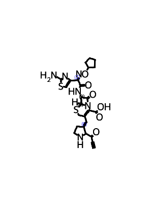 C#CC(=O)C1NCC/C1=C\C1=C(C(=O)O)N2C(=O)[C@@H](NC(=O)/C(=N\OC3CCCC3)c3csc(N)n3)[C@H]2SC1